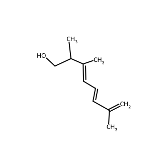 C=C(C)/C=C/C=C(\C)C(C)CO